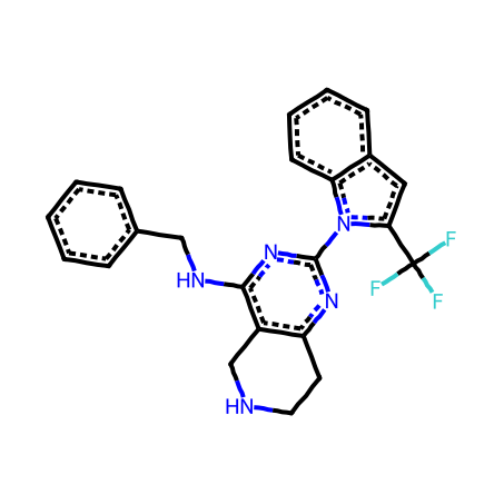 FC(F)(F)c1cc2ccccc2n1-c1nc2c(c(NCc3ccccc3)n1)CNCC2